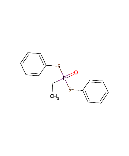 CCP(=O)(Sc1ccccc1)Sc1ccccc1